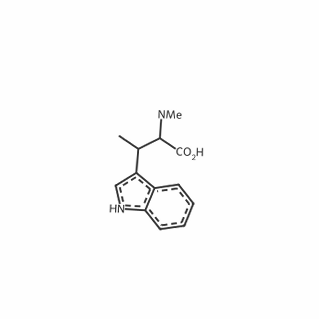 CNC(C(=O)O)C(C)c1c[nH]c2ccccc12